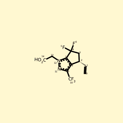 C=C[C@H]1CC(F)(F)c2c1c(C(F)(F)F)nn2CC(=O)O